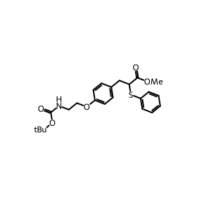 COC(=O)C(Cc1ccc(OCCNC(=O)OC(C)(C)C)cc1)Sc1ccccc1